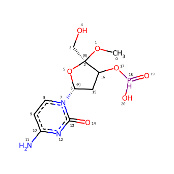 CO[C@]1(CO)O[C@@H](n2ccc(N)nc2=O)CC1O[PH](=O)O